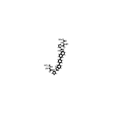 COC(=O)N[C@H](C(=O)N1CCC[C@H]1c1nc2c([nH]1)-c1ccc(-c3ccc(-c4ccc5nc([C@@H]6CCC[C@@H]6NC(=O)[C@@H](NC(=O)O)C(C)C)[nH]c5c4)cc3)cc1CC2)C(C)C